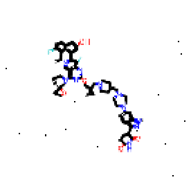 CCc1c(F)ccc2cc(O)cc(-c3ncc4c(N5CCC[C@]6(CCO6)C5)nc(OCC5(CN6CCC(CN7CCN(c8ccc9c(C%10CCC(=O)NC%10=O)nn(C)c9c8)CC7)CC6)CC5)nc4c3F)c12